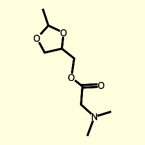 CC1OCC(COC(=O)CN(C)C)O1